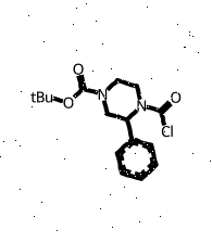 CC(C)(C)OC(=O)N1CCN(C(=O)Cl)C(c2ccccc2)C1